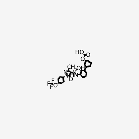 CC1=NN(c2ccc(OC(F)(F)F)cc2)C(=O)C1=NNc1cccc(-c2cccc(OC(=O)O)c2)c1O